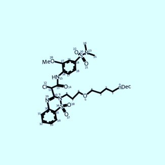 CCCCCCCCCCCCCCOCCCN1C(C(Cl)C(=O)Nc2ccc(S(=O)(=O)N(C)C)cc2OC)=Nc2ccccc2S1(=O)=O